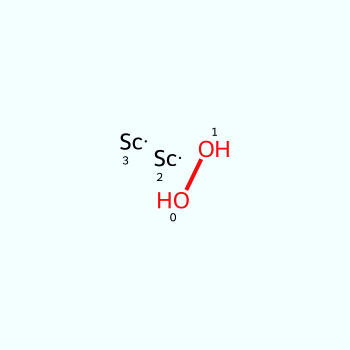 OO.[Sc].[Sc]